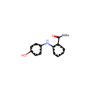 CNC(=O)c1ccccc1Nc1ccc(O)cc1